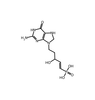 Nc1nc2c(c(=O)[nH]1)NCN2CCC(O)C=CP(=O)(O)O